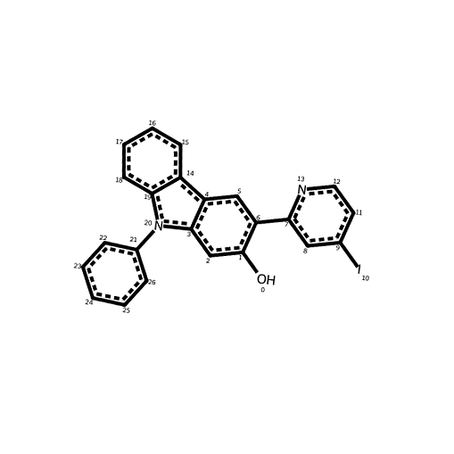 Oc1cc2c(cc1-c1cc(I)ccn1)c1ccccc1n2-c1ccccc1